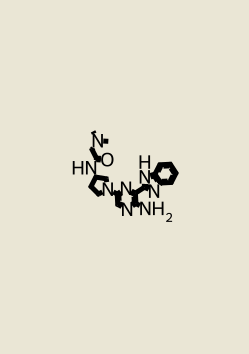 CN(C)CC(=O)N[C@H]1CCN(c2cnc(N)c(-c3nc4ccccc4[nH]3)n2)C1